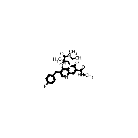 CCN(C)C(=O)[C@@]1(C)Cn2c(=O)c(C(=O)NC)cc3ncc(Cc4ccc(F)cc4)c(c32)O1